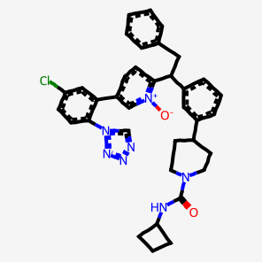 O=C(NC1CCC1)N1CCC(c2cccc(C(Cc3ccccc3)c3ccc(-c4cc(Cl)ccc4-n4cnnn4)c[n+]3[O-])c2)CC1